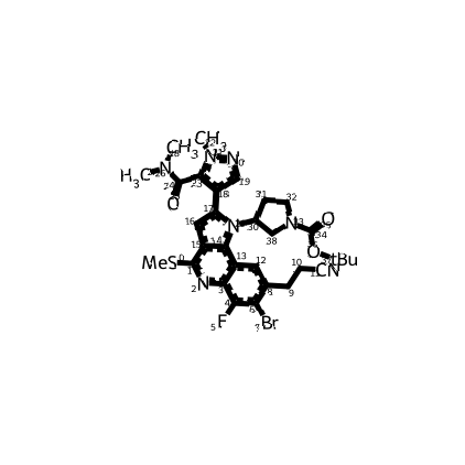 CSc1nc2c(F)c(Br)c(CCC#N)cc2c2c1cc(-c1cnn(C)c1C(=O)N(C)C)n2C1CCN(C(=O)OC(C)(C)C)C1